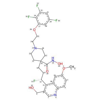 COc1ccc2ncc(CO)c([C@H](F)CCC3(C(=O)NO)CCN(CCOc4cc(F)cc(F)c4F)CC3)c2c1